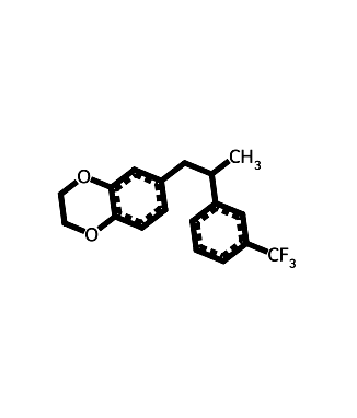 CC(Cc1ccc2c(c1)OCCO2)c1cccc(C(F)(F)F)c1